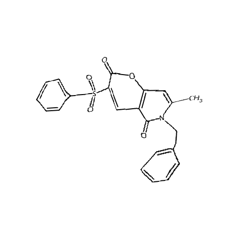 Cc1cc2oc(=O)c(S(=O)(=O)c3ccccc3)cc2c(=O)n1Cc1ccccc1